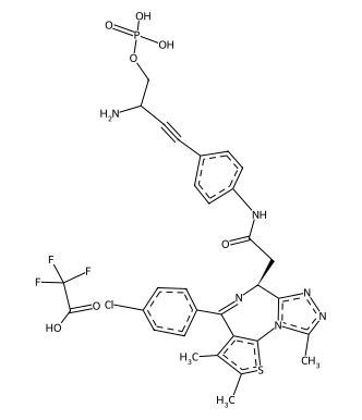 Cc1sc2c(c1C)C(c1ccc(Cl)cc1)=N[C@@H](CC(=O)Nc1ccc(C#CC(N)COP(=O)(O)O)cc1)c1nnc(C)n1-2.O=C(O)C(F)(F)F